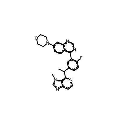 CC(c1ccc(F)c(-c2ncnc3cc(N4CCOCC4)ccc23)c1)c1nccc2ncn(C)c12